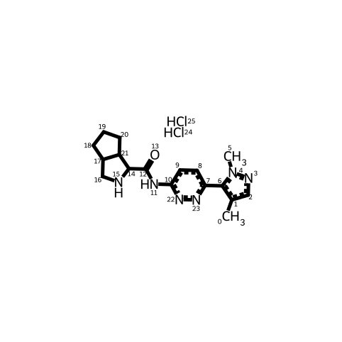 Cc1cnn(C)c1-c1ccc(NC(=O)C2NCC3CCCC32)nn1.Cl.Cl